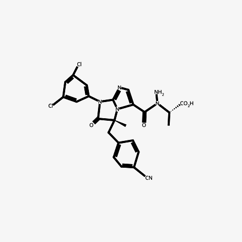 C[C@@H](C(=O)O)N(N)C(=O)c1cnc2n1[C@](C)(Cc1ccc(C#N)cc1)C(=O)N2c1cc(Cl)cc(Cl)c1